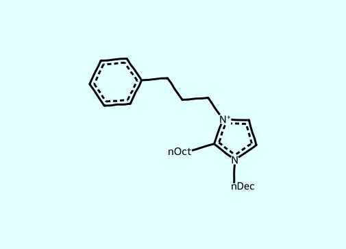 CCCCCCCCCCn1cc[n+](CCCc2ccccc2)c1CCCCCCCC